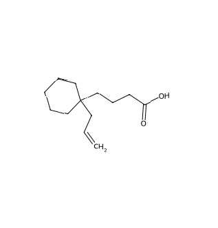 C=CCC1(CCCC(=O)O)CCCCC1